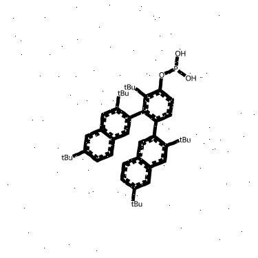 CC(C)(C)c1ccc2cc(-c3ccc(OP(O)O)c(C(C)(C)C)c3-c3cc4ccc(C(C)(C)C)cc4cc3C(C)(C)C)c(C(C)(C)C)cc2c1